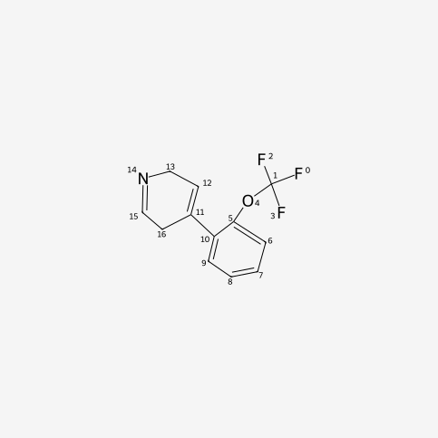 FC(F)(F)Oc1ccccc1C1=CCN=CC1